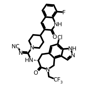 N#C/N=C(/N[C@@H]1Cc2cc(Cl)c3[nH]ncc3c2CN(CC(F)(F)F)C1=O)N1CCC(c2cc3cccc(F)c3[nH]c2=O)CC1